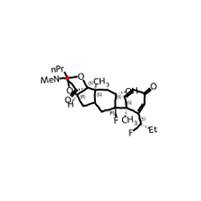 CCCC1O[C@@H]2CC3C[C@@](F)([C@@]4(C)C=CC(=O)C=C4[C@@H](F)CC)[C@@H](O)C[C@]3(C)[C@]2(C(=O)CNC)O1